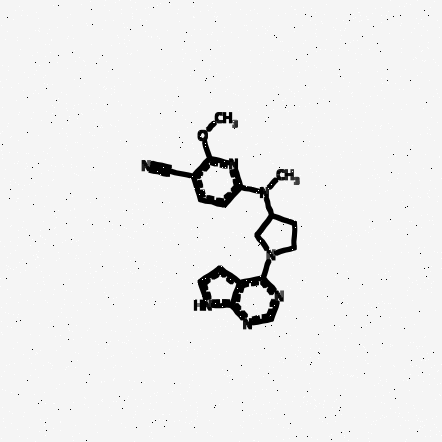 COc1nc(N(C)C2CCN(c3ncnc4[nH]ccc34)C2)ccc1C#N